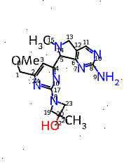 COCc1cc(C2c3nc(N)ncc3CN2C)nc(N2CC(C)(O)C2)n1